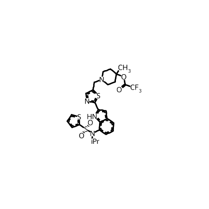 CC(C)N(c1cccc2cc(-c3ncc(CN4CCC(C)(OC(=O)C(F)(F)F)CC4)s3)[nH]c12)S(=O)(=O)c1cccs1